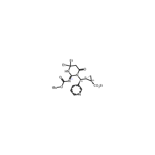 CCOC(=O)[C@@H]1C[C@H]1[C@@H](c1cccnc1)N1C(=O)CC(CC)(CC)N/C1=N\C(=O)OC(C)(C)C